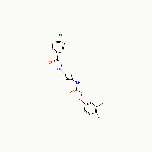 O=C(COc1ccc(Cl)c(F)c1)NC12CC(NCC(=O)c3ccc(Cl)cc3)(C1)C2